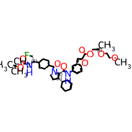 COCCO[C@H](C)COC(=O)c1cc2cc(NC(=O)[C@H]3[C@H](C4CCCCC4)CCN3C(=O)C3CCC([C@@H](CF)NC(=O)OC(C)(C)C)CC3)ccc2o1